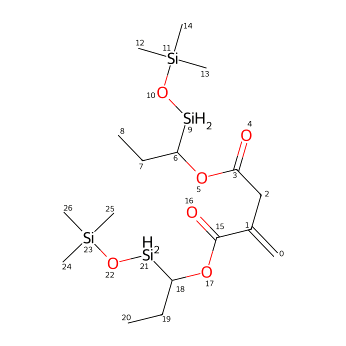 C=C(CC(=O)OC(CC)[SiH2]O[Si](C)(C)C)C(=O)OC(CC)[SiH2]O[Si](C)(C)C